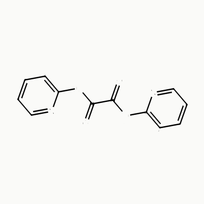 O=C(Oc1ccccn1)C(=O)Oc1ccccn1